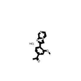 COc1cc(C(C)=O)ccc1-c1cn2ccncc2n1.Cl